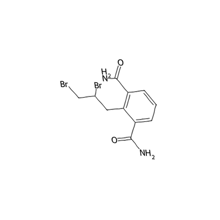 NC(=O)c1cccc(C(N)=O)c1CC(Br)CBr